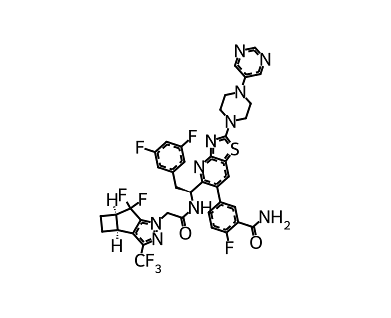 NC(=O)c1cc(-c2cc3sc(N4CCN(c5cncnc5)CC4)nc3nc2[C@H](Cc2cc(F)cc(F)c2)NC(=O)Cn2nc(C(F)(F)F)c3c2C(F)(F)[C@@H]2CC[C@H]32)ccc1F